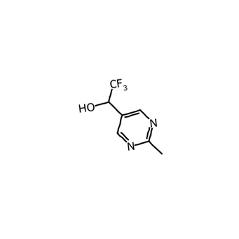 Cc1ncc(C(O)C(F)(F)F)cn1